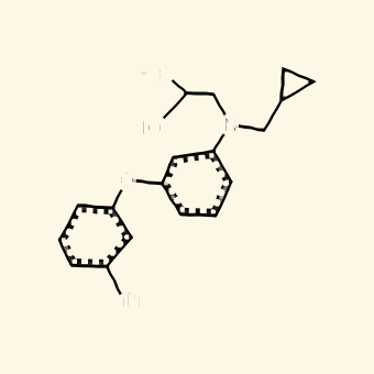 CC(C)c1cccc(Oc2cccc(N(CC3CC3)CC(O)C(F)(F)F)c2)c1